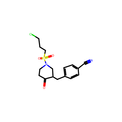 N#Cc1ccc(CC2CN(S(=O)(=O)CCCCl)CCC2=O)cc1